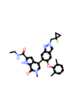 CCNC(=O)c1cc2c(-c3cc4nn(CC5(F)CC5)cc4cc3Oc3c(C)cccc3C)cn(C)c(=O)c2[nH]1